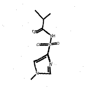 CC(C)C(=O)NS(=O)(=O)c1cn(C)cn1